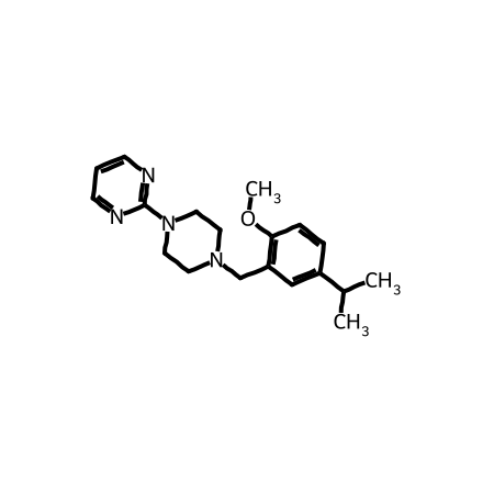 COc1ccc(C(C)C)cc1CN1CCN(c2ncccn2)CC1